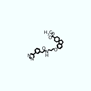 COC(=O)C1CCC2(CCc3ccc(OCCCNC(=O)Cc4cccc(-c5cncnc5)c4)cc32)CC1